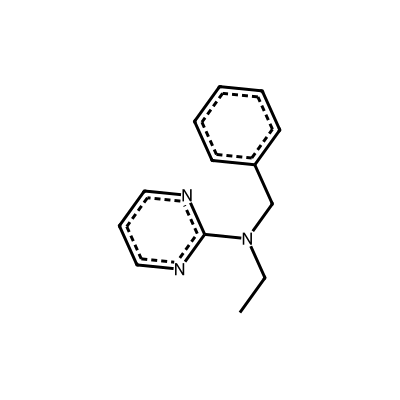 CCN(Cc1ccccc1)c1ncccn1